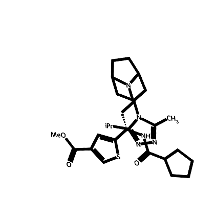 COC(=O)c1csc([C@H](CCN2C3CCC2CC(n2c(C)nnc2C(C)C)C3)NC(=O)C2CCCC2)c1